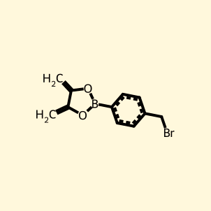 C=C1OB(c2ccc(CBr)cc2)OC1=C